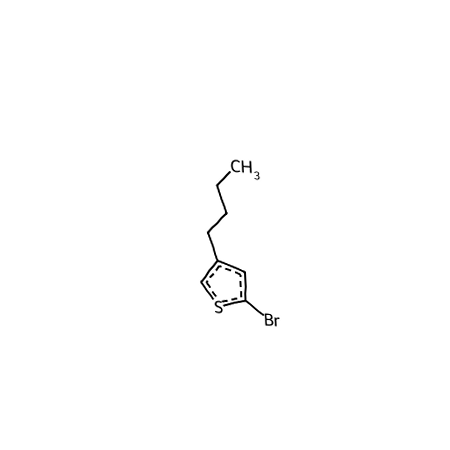 CCCCc1csc(Br)c1